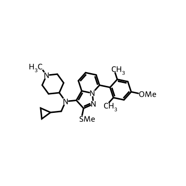 COc1cc(C)c(-c2cccc3c(N(CC4CC4)C4CCN(C)CC4)c(SC)nn23)c(C)c1